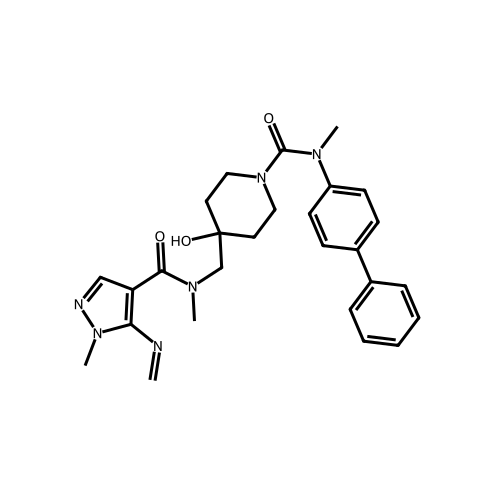 C=Nc1c(C(=O)N(C)CC2(O)CCN(C(=O)N(C)c3ccc(-c4ccccc4)cc3)CC2)cnn1C